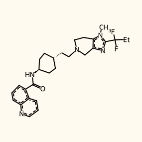 CCC(F)(F)c1nc2c(n1C)CCN(CC[C@H]1CC[C@H](NC(=O)c3cccc4ncccc34)CC1)C2